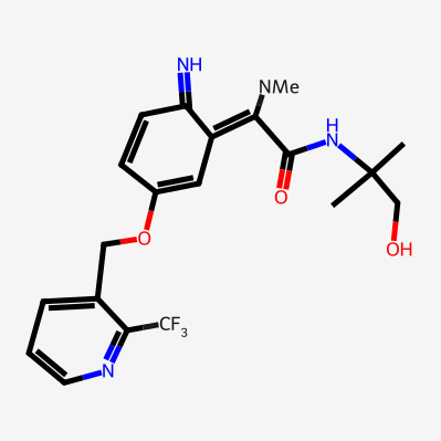 CN/C(C(=O)NC(C)(C)CO)=C1/C=C(OCc2cccnc2C(F)(F)F)C=CC1=N